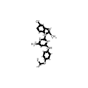 Cc1nc2cc(Cl)ccc2n1-c1nc(N)cc(Nc2ccc(OC(F)F)cc2)n1